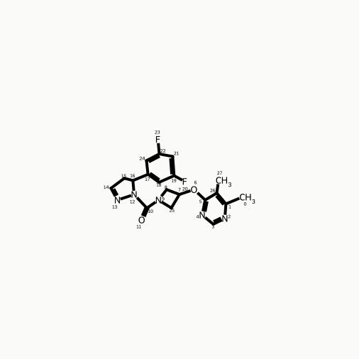 Cc1ncnc(OC2CN(C(=O)N3N=CCC3c3cc(F)cc(F)c3)C2)c1C